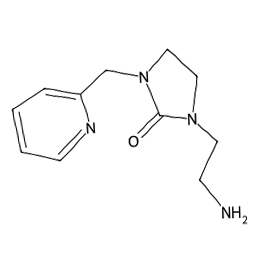 NCCN1CCN(Cc2ccccn2)C1=O